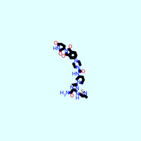 Cc1cc(Nc2nc(N3CCCC(NC(=O)N4CCN(c5ccc6c(c5)C(=O)N(C5CCC(=O)NC5=O)C6=O)CC4)C3)cnc2C(N)=O)sn1